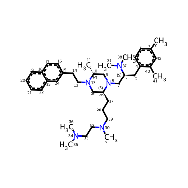 Cc1ccc(C[C@@H](CN2C[C@@H](C)N(CCc3ccc4ccccc4c3)C[C@@H]2CCCN(C)CCN(C)C)N(C)C)c(C)c1